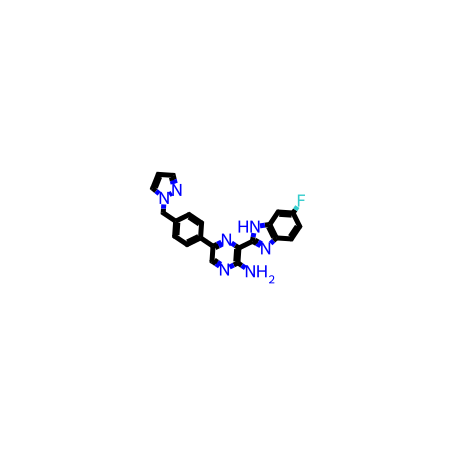 Nc1ncc(-c2ccc(Cn3cccn3)cc2)nc1-c1nc2ccc(F)cc2[nH]1